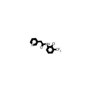 O=C(Cc1cccnc1)Nc1cccc(C(F)(F)F)c1Cl